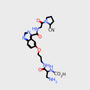 N#CC1CCCN1C(=O)CNC(=O)c1ncnc2ccc(OCCCNC(=O)C(CN)NC(=O)O)cc12